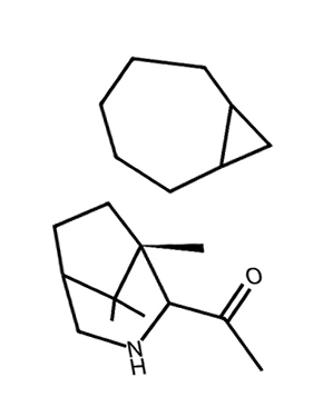 C1CCC2CC2CC1.CC(=O)C1NCC2CC[C@@]1(C)C2(C)C